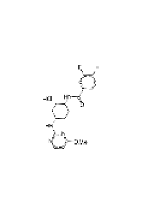 COc1ccnc(N[C@H]2CC[C@@H](NC(=O)c3ccc(F)c(F)c3)CC2)n1.Cl